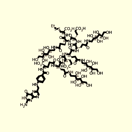 CCSSC[C@H](NC(=O)[C@H](CCC(=O)NC[C@H](O)[C@@H](O)[C@H](O)[C@H](O)CO)NC(=O)[C@H](CCC(=O)O)NC(=O)[C@H](CCC(=O)NC[C@H](O)[C@@H](O)[C@H](O)[C@H](O)CO)NC(=O)[C@H](CCC(=O)NC[C@H](O)[C@@H](O)[C@H](O)[C@H](O)CO)NC(=O)[C@H](CCC(=O)O)NC(=O)[C@H](CCC(=O)NC[C@H](O)[C@@H](O)[C@H](O)[C@H](O)CO)NC(=O)CC[C@H](NC(=O)c1ccc(NCc2cnc3nc(N)[nH]c(=O)c3n2)cc1)C(=O)O)C(=O)O